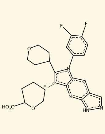 O=C(O)C1CC[C@H](c2c(C3CCOCC3)n(-c3ccc(F)c(F)c3)c3cc4cn[nH]c4nc23)CO1